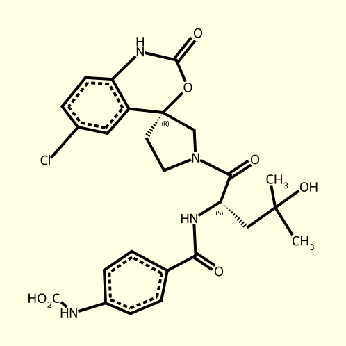 CC(C)(O)C[C@H](NC(=O)c1ccc(NC(=O)O)cc1)C(=O)N1CC[C@@]2(C1)OC(=O)Nc1ccc(Cl)cc12